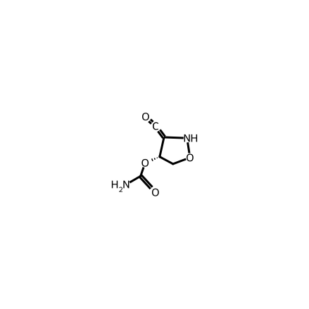 NC(=O)O[C@H]1CONC1=C=O